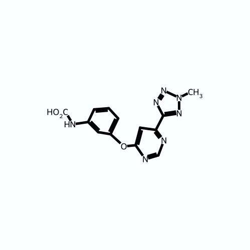 Cn1nnc(-c2cc(Oc3cccc(NC(=O)O)c3)ncn2)n1